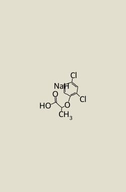 CC(Oc1ccc(Cl)cc1Cl)C(=O)O.[NaH]